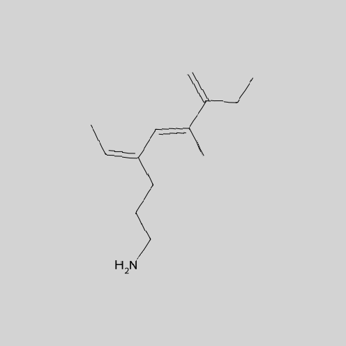 C=C(CC)/C(C)=C/C(=C\C)CCCN